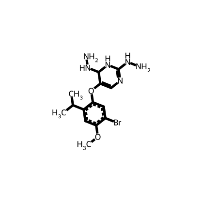 COc1cc(C(C)C)c(OC2=CN=C(NN)NC2NN)cc1Br